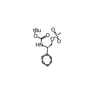 CC(C)(C)OC(=O)N[C@@H](COS(C)(=O)=O)c1ccccc1